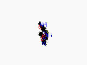 O=C(NC1CC1)c1ccc(-c2csc(NC(=O)C3CCC(c4ccncc4)N3C(=O)OCc3ccccc3)n2)cc1